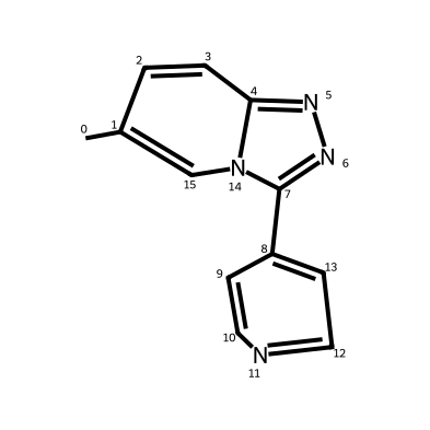 Cc1ccc2nnc(-c3ccncc3)n2c1